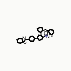 C/C1=N\c2ccccc2Cc2ccccc2-c2cc(-c3ccc(-c4nc5ccccc5s4)cc3)ccc21